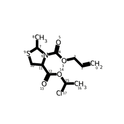 C=CCOC(=O)N1C(C)SCC1C(=O)OC(C)Cl